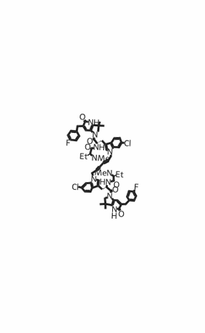 CC[C@H](NC)C(=O)N[C@@H](Cc1cn(CC#CC#CCn2cc(C[C@H](NC(=O)[C@H](CC)NC)C(=O)N3CC(C)(C)c4[nH]c(=O)c(Cc5ccc(F)cc5)cc43)c3ccc(Cl)cc32)c2cc(Cl)ccc12)C(=O)N1CC(C)(C)c2[nH]c(=O)c(Cc3ccc(F)cc3)cc21